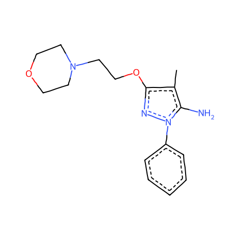 Cc1c(OCCN2CCOCC2)nn(-c2ccccc2)c1N